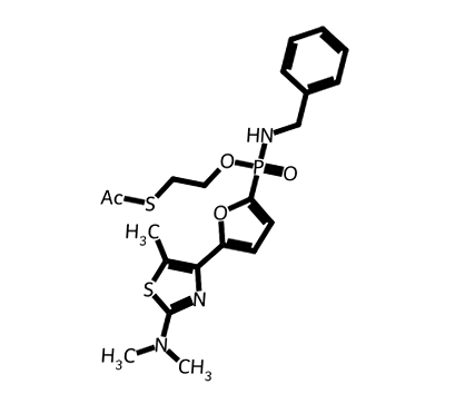 CC(=O)SCCOP(=O)(NCc1ccccc1)c1ccc(-c2nc(N(C)C)sc2C)o1